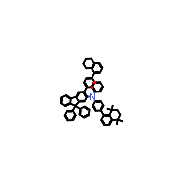 CC1(C)CCC(C)(C)c2c(-c3ccc(N(c4ccccc4)c4cc5c(cc4-c4ccc(-c6cccc7c6CCCC7)cc4)-c4ccccc4C5(c4ccccc4)c4ccccc4)cc3)cccc21